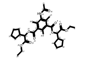 CCOC(=O)C(OC(=O)c1c(I)c(NC(C)=O)c(I)c(C(=O)OC(C(=O)OCC)C2CCCC2)c1I)C1CCCC1